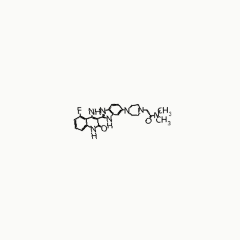 CN(C)C(=O)CN1CCN(c2ccc3nc(-c4c(N)c5c(F)cccc5[nH]c4=O)[nH]c3c2)CC1